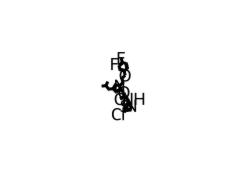 CC(C)Cc1cc(OC(=O)Nc2ncc(Cl)s2)n(CCOc2ccc(F)c(F)c2)c1